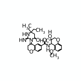 CCC1(CC)CC(=O)N([C@@H]2CCOc3ccc(C(=O)NC4c5c(OC)cccc5OCC4(C)O)cc32)C(=N)N1